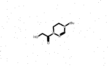 CC(C)(C)N1C=NN(C(=O)CO)CC1